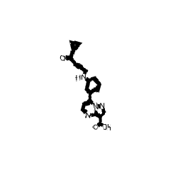 O=C(O)c1cnn2c(-c3cccc(NCC#CC(=O)C4CC4)c3)ccnc12